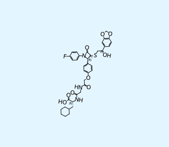 O=C(COc1ccc([C@@H]2[C@@H](SC[C@H](O)c3ccc4c(c3)OCO4)C(=O)N2c2ccc(F)cc2)cc1)NCC(=O)N[C@H](CC1CCCCC1)C(=O)O